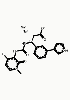 Cn1ccc([O-])c(NC(=O)N[C@@H](CC(=O)[O-])c2cccc(-c3cc[nH]c3)c2)c1=O.[Na+].[Na+]